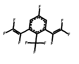 FC(F)=C(F)c1cc(F)cc(C(F)=C(F)F)c1C(F)(F)F